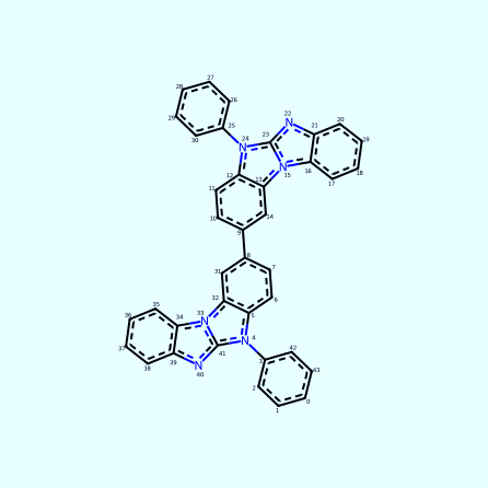 c1ccc(-n2c3ccc(-c4ccc5c(c4)n4c6ccccc6nc4n5-c4ccccc4)cc3n3c4ccccc4nc23)cc1